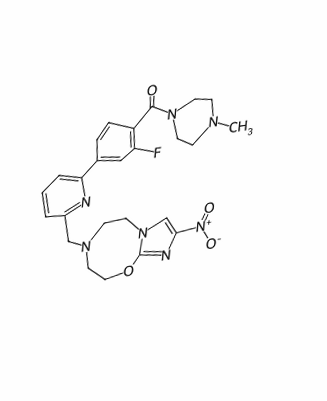 CN1CCN(C(=O)c2ccc(-c3cccc(CN4CCOc5nc([N+](=O)[O-])cn5CC4)n3)cc2F)CC1